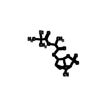 CCC(C)(C)C(=O)OC(C)C(=O)OC1C2CC3C1OS(=O)(=O)C3C2C#N